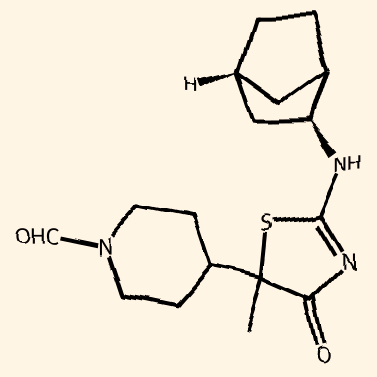 CC1(C2CCN(C=O)CC2)SC(N[C@H]2C[C@@H]3CCC2C3)=NC1=O